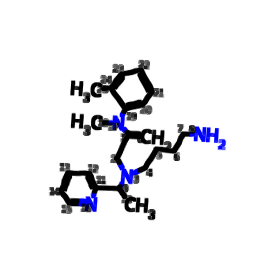 C=C(CN(CCCCN)C(C)c1ccccn1)N(C)c1ccccc1C